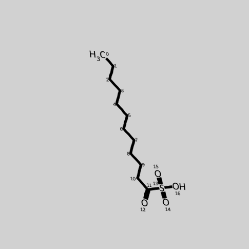 CCCCCCCCCCCC(=O)S(=O)(=O)O